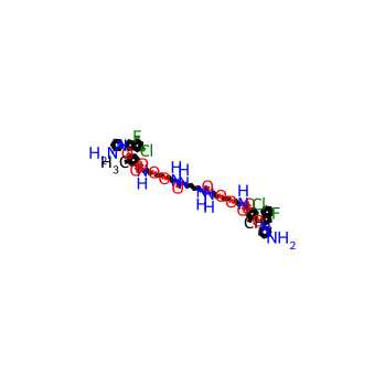 Cc1cc(S(=O)(=O)NCCOCCOCCNC(=O)NCCCCNC(=O)NCCOCCOCCNS(=O)(=O)c2ccc(O[C@H]3c4cc(Cl)cc(F)c4C[C@@H]3N3CCC[C@@H](N)C3)c(C)c2)ccc1O[C@H]1c2cc(Cl)cc(F)c2C[C@@H]1N1CCC[C@@H](N)C1